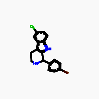 Clc1ccc2[nH]c3c(c2c1)CCNC3c1ccc(Br)cc1